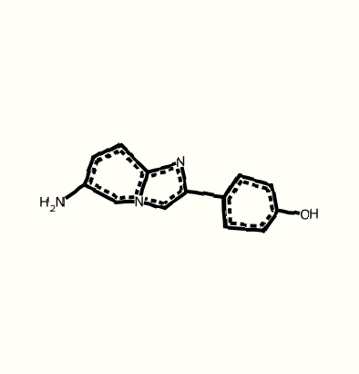 Nc1ccc2nc(-c3ccc(O)cc3)cn2c1